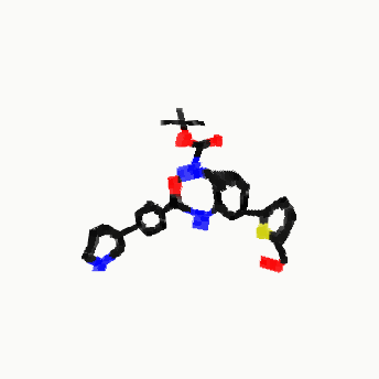 CC(C)(C)OC(=O)Nc1ccc(-c2ccc(CO)s2)cc1NC(=O)c1ccc(-c2cccnc2)cc1